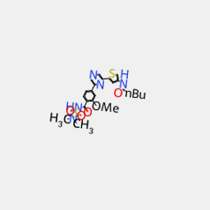 CCCCC(=O)Nc1csc(-c2cncc(-c3ccc(C(=O)NS(=O)(=O)N(C)C)c(OC)c3)n2)c1